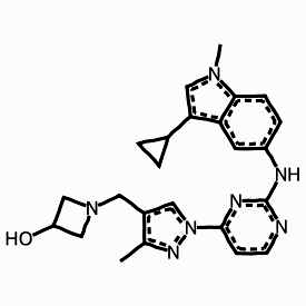 Cc1nn(-c2ccnc(Nc3ccc4c(c3)c(C3CC3)cn4C)n2)cc1CN1CC(O)C1